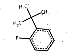 CC(C)(C)c1[c]cccc1F